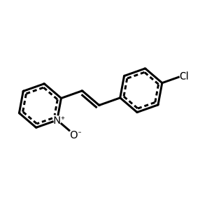 [O-][n+]1ccccc1/C=C/c1ccc(Cl)cc1